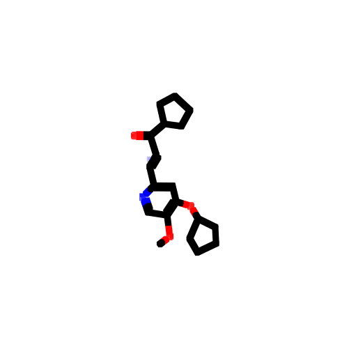 COc1cnc(/C=C/C(=O)C2CCCC2)cc1OC1CCCC1